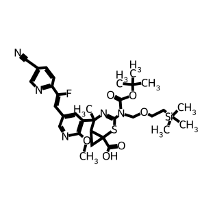 COc1ncc(C=C(F)c2ccc(C#N)cn2)cc1C1(C)N=C(N(COCC[Si](C)(C)C)C(=O)OC(C)(C)C)SC2(C(=O)O)CC21